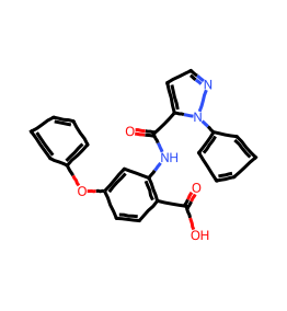 O=C(O)c1ccc(Oc2ccccc2)cc1NC(=O)c1ccnn1-c1ccccc1